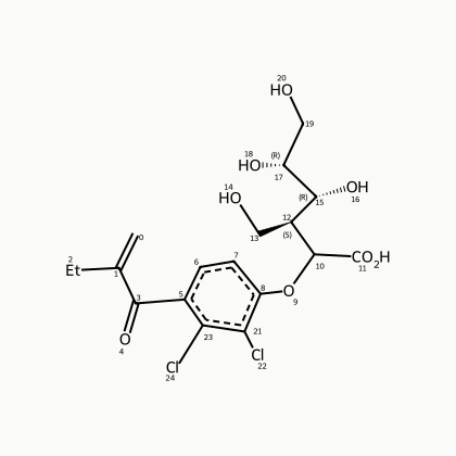 C=C(CC)C(=O)c1ccc(OC(C(=O)O)[C@@H](CO)[C@@H](O)[C@H](O)CO)c(Cl)c1Cl